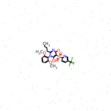 CCCCc1nc(=O)c(S(=O)(=O)c2ccc(C(F)(F)F)cn2)c(O)n1-c1c(OC)cccc1OC